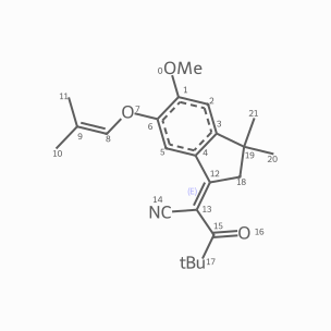 COc1cc2c(cc1OC=C(C)C)/C(=C(\C#N)C(=O)C(C)(C)C)CC2(C)C